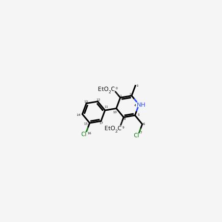 CCOC(=O)C1=C(C)NC(CCl)=C(C(=O)OCC)C1c1cccc(Cl)c1